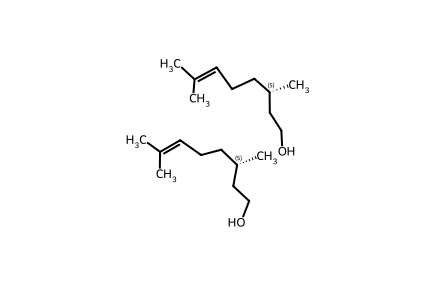 CC(C)=CCC[C@H](C)CCO.CC(C)=CCC[C@H](C)CCO